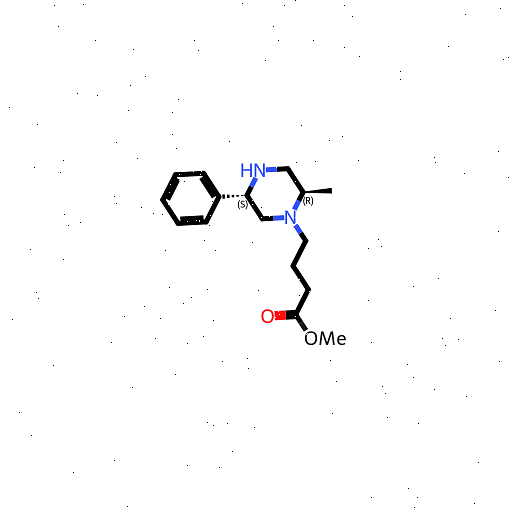 COC(=O)CCCN1C[C@H](c2ccccc2)NC[C@H]1C